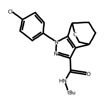 CC(C)(C)NC(=O)c1nn(-c2ccc(Cl)cc2)c2c1C1CCC2CC1